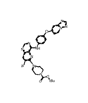 CC(C)(C)OC(=O)N1CCN(c2nc3c(Nc4ccc(Oc5ccn6ncnc6c5)cc4)ncnc3cc2Br)CC1